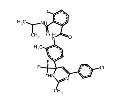 CC1=NC(c2ccc(Cl)cc2)=CC(c2ccc(NC(=O)c3cccc(I)c3C(=O)NC(C)C)c(C)c2)(C(F)(F)F)N1